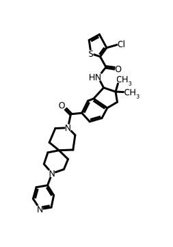 CC1(C)Cc2ccc(C(=O)N3CCC4(CC3)CCN(c3ccncc3)CC4)cc2C1NC(=O)c1sccc1Cl